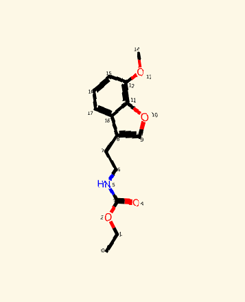 CCOC(=O)NCCc1coc2c(OC)cccc12